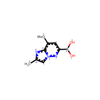 COc1cc(B(O)O)nn2cc(C)nc12